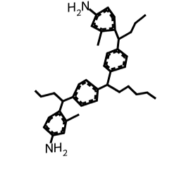 CCCCCC(c1ccc(C(CCC)c2ccc(N)cc2C)cc1)c1ccc(C(CCC)c2ccc(N)cc2C)cc1